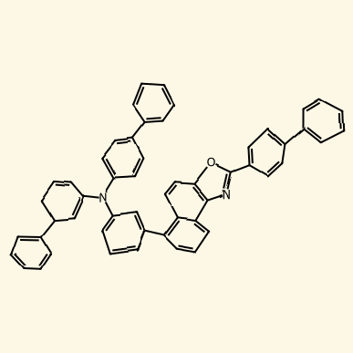 C1=CC(N(c2ccc(-c3ccccc3)cc2)c2cccc(-c3cccc4c3ccc3oc(-c5ccc(-c6ccccc6)cc5)nc34)c2)=CC(c2ccccc2)C1